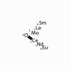 [Eu].[La].[Mo].[Nd].[O]=[Ce].[Sm]